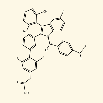 N#Cc1cccc(C#N)c1-c1c(-c2cccc(-c3c(F)cc(CC(=O)N=O)cc3F)c2)n([S+]([O-])c2ccc(C(F)F)cc2)c2ccc(F)cc12